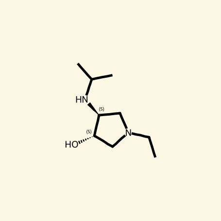 CCN1C[C@H](NC(C)C)[C@@H](O)C1